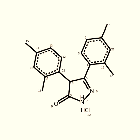 Cc1ccc(C2=NNC(=O)C2c2ccc(C)cc2C)c(C)c1.Cl